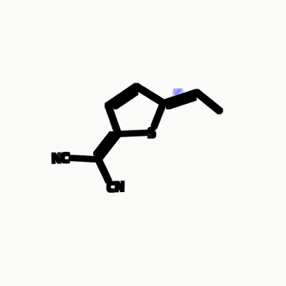 C/C=c1/ccc(=C(C#N)C#N)s1